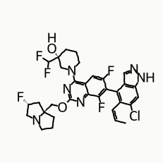 C/C=C\c1c(Cl)cc2[nH]ncc2c1-c1c(F)cc2c(N3CCC[C@](O)(C(F)F)C3)nc(OC[C@@]34CCCN3C[C@H](F)C4)nc2c1F